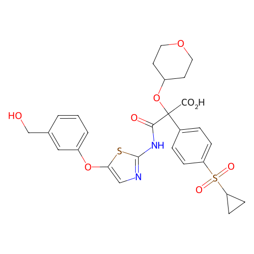 O=C(O)C(OC1CCOCC1)(C(=O)Nc1ncc(Oc2cccc(CO)c2)s1)c1ccc(S(=O)(=O)C2CC2)cc1